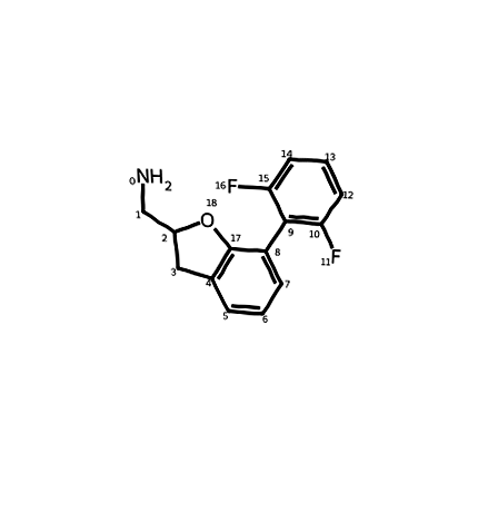 NCC1Cc2cccc(-c3c(F)cccc3F)c2O1